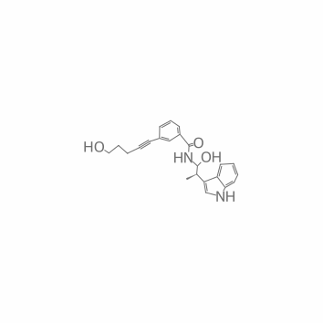 C[C@H](c1c[nH]c2ccccc12)C(O)NC(=O)c1cccc(C#CCCCO)c1